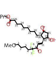 COCCCCC(F)(F)C(=O)C=C[C@@H]1[C@H](O)CC(=O)[C@@H]1CCCCCCCCC(=O)OC(C)C